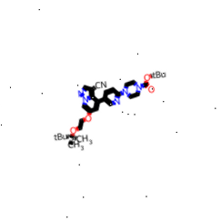 CC(C)(C)OC(=O)N1CCN(c2ccc(-c3cc(OCCO[Si](C)(C)C(C)(C)C)cn4ncc(C#N)c34)cn2)CC1